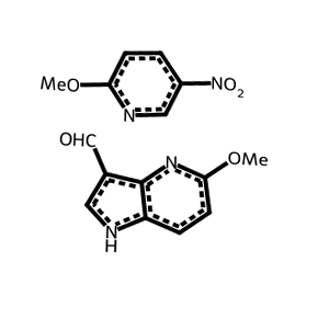 COc1ccc([N+](=O)[O-])cn1.COc1ccc2[nH]cc(C=O)c2n1